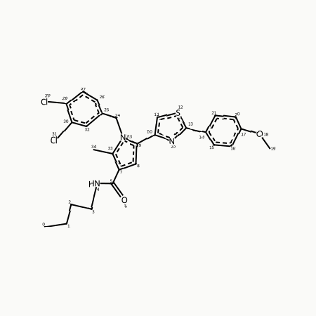 CCCCNC(=O)c1cc(-c2csc(-c3ccc(OC)cc3)n2)n(Cc2ccc(Cl)c(Cl)c2)c1C